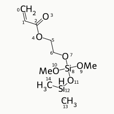 C=CC(=O)OCCO[Si](OC)(OC)O[SiH](C)C